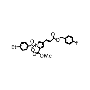 CCc1ccc(S(=O)(=O)n2cc(/C=C/C(=O)OCc3ccc(F)cc3)cc2C(=O)OC)cc1